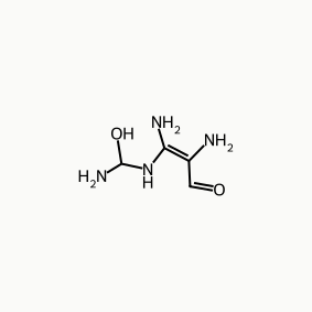 N/C(C=O)=C(\N)NC(N)O